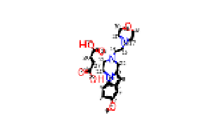 COc1ccc2c(c1)cc1n2CCN(CCN2CCOCC2)C1.O=C(O)C=CC(=O)O